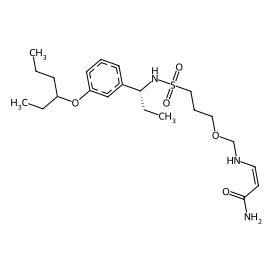 CCCC(CC)Oc1cccc([C@@H](CC)NS(=O)(=O)CCCOCN/C=C\C(N)=O)c1